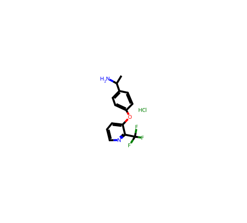 CC(N)c1ccc(Oc2cccnc2C(F)(F)F)cc1.Cl